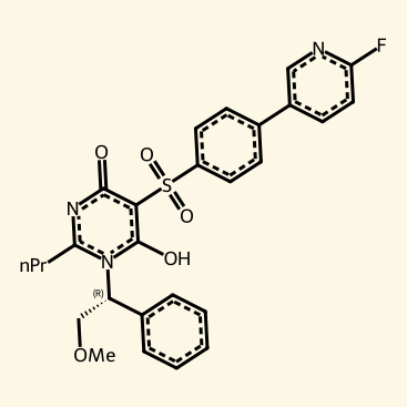 CCCc1nc(=O)c(S(=O)(=O)c2ccc(-c3ccc(F)nc3)cc2)c(O)n1[C@@H](COC)c1ccccc1